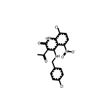 CC(=O)c1c(NCc2ccc(Cl)cc2)c2c([N+](=O)[O-])ccc(Cl)c2[nH]c1=O